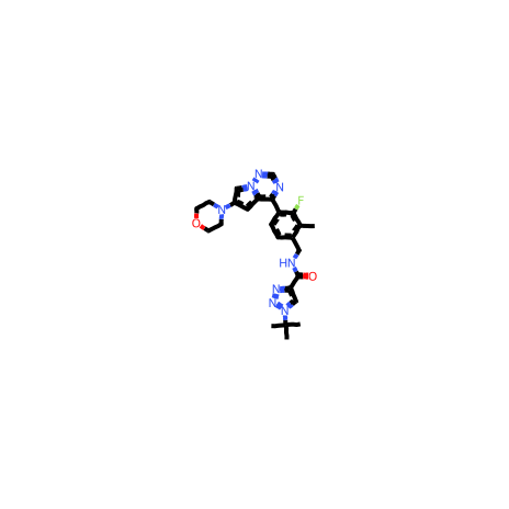 Cc1c(CNC(=O)c2cn(C(C)(C)C)nn2)ccc(-c2ncnn3cc(N4CCOCC4)cc23)c1F